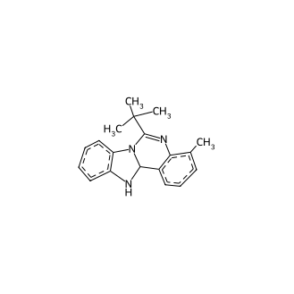 Cc1cccc2c1N=C(C(C)(C)C)N1c3ccccc3NC21